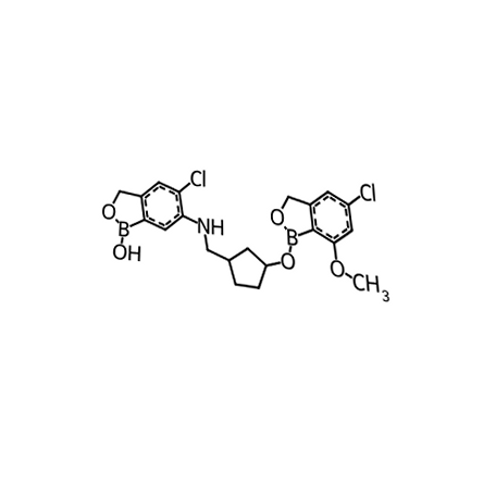 COc1cc(Cl)cc2c1B(OC1CCC(CNc3cc4c(cc3Cl)COB4O)C1)OC2